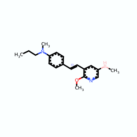 CBc1cnc(OC)c(/C=C/c2ccc(N(C)CCC)cc2)c1